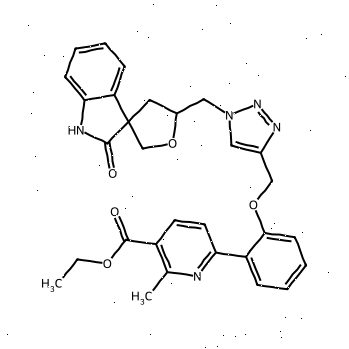 CCOC(=O)c1ccc(-c2ccccc2OCc2cn(CC3CC4(CO3)C(=O)Nc3ccccc34)nn2)nc1C